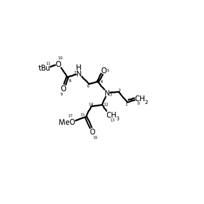 C=CCN(C(=O)CNC(=O)OC(C)(C)C)C(C)CC(=O)OC